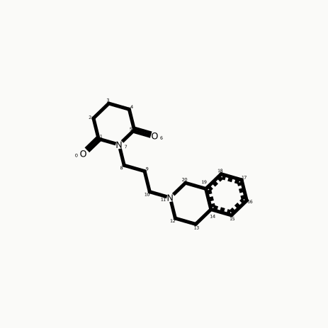 O=C1CCCC(=O)N1CCCN1CCc2ccccc2C1